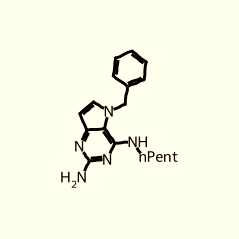 CCCCCNc1nc(N)nc2ccn(Cc3ccccc3)c12